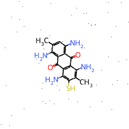 Cc1cc(N)c2c(c1N)C(=O)c1c(N)c(S)c(C)c(N)c1C2=O